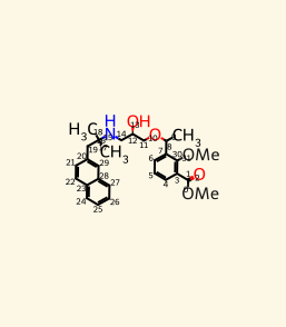 COC(=O)c1cccc(C(C)OC[C@H](O)CNC(C)(C)Cc2ccc3ccccc3c2)c1OC